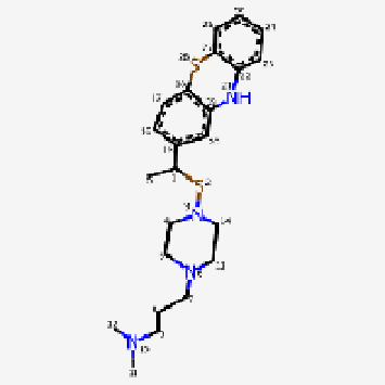 CC(SN1CCN(CCCN(C)C)CC1)c1ccc2c(c1)Nc1ccccc1S2